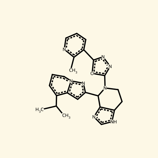 Cc1ncccc1-c1nnc(N2CCc3[nH]cnc3C2c2cc3c(C(C)C)cccn3n2)o1